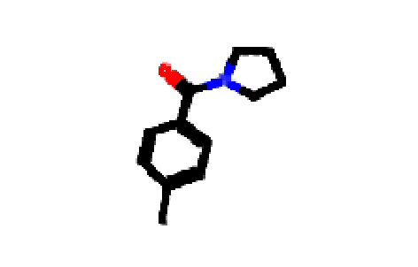 [CH2]c1ccc(C(=O)N2CCCC2)cc1